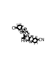 N#Cc1ccc2nc(NC3CC3)c(N3CCN(S(=O)(=O)c4cccc(Cl)c4)CC3)nc2c1